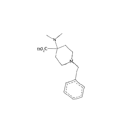 CCOC(=O)C1(N(C)C)CCN(Cc2ccccc2)CC1